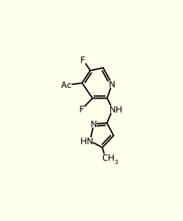 CC(=O)c1c(F)cnc(Nc2cc(C)[nH]n2)c1F